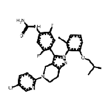 Cc1cccc(OCC(C)C)c1-n1nc2c(c1-c1cc(F)c(NC(N)=O)cc1F)CN(c1ccc(Cl)cn1)CC2